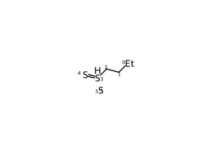 CCCC[SH](=S)=S